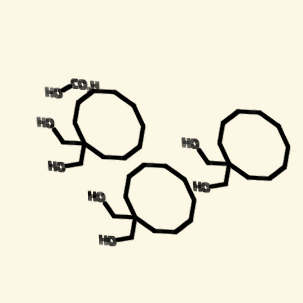 O=C(O)O.OCC1(CO)CCCCCCCCC1.OCC1(CO)CCCCCCCCC1.OCC1(CO)CCCCCCCCC1